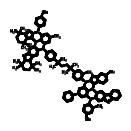 Cc1cc2c3c(c1)N(c1ccc(C(C)(C)C)cc1)c1oc4c(c1B3c1cc3oc5c(c3cc1N2c1ccc(C(C)(C)CCC(C)(C)c2ccc(N3c6cc(-c7ccccc7)cc7c6B(c6cc8c(cc6N7c6ccc(C(C)(C)C)cc6C)sc6ccccc68)c6c3oc3cc(C(C)(C)C)ccc63)c(C)c2)cc1)C(C)(C)CCC5(C)C)C(C)(C)CCC4(C)C